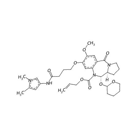 C=CCOC(=O)N1c2cc(OCCCC(=O)Nc3cc(C)n(C)c3)c(OC)cc2C(=O)N2CCC[C@H]2[C@@H]1OC1CCCCO1